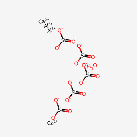 O.O=[Si]([O-])[O-].O=[Si]([O-])[O-].O=[Si]([O-])[O-].O=[Si]([O-])[O-].O=[Si]([O-])[O-].[Al+3].[Al+3].[Ca+2].[Ca+2]